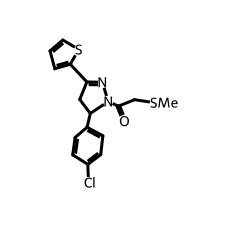 CSCC(=O)N1N=C(c2cccs2)CC1c1ccc(Cl)cc1